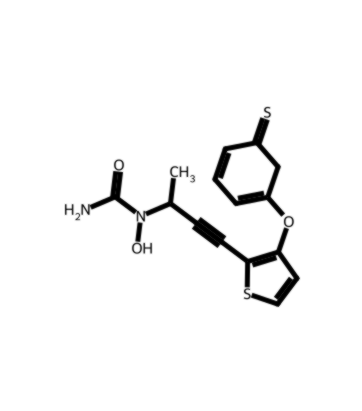 CC(C#Cc1sccc1OC1=CC=CC(=S)C1)N(O)C(N)=O